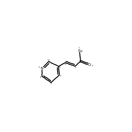 O=[C]([Eu])C=Cc1cccnc1